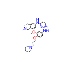 COc1cc(Nc2nccc(Nc3ccc4c(c3)CCN(C)C4)n2)ccc1OCCCN1CCCCC1